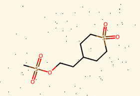 CS(=O)(=O)OCCC1CCS(=O)(=O)CC1